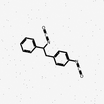 O=C=Nc1ccc(CC(N=C=O)c2ccccc2)cc1